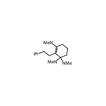 [CH2]C(C)CCC1=C(NC)CCCC1(NC)NC